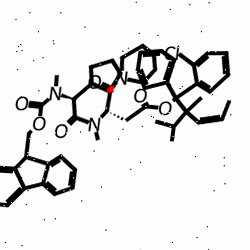 C/C=C\C(C)(C(C)C)C(OC(=O)C[C@@H](C(=O)N1CCCCC1)N(C)C(=O)[C@H](C1CCCC1)N(C)C(=O)OCC1c2ccccc2-c2ccccc21)(c1ccccc1)c1ccccc1Cl